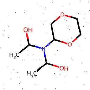 CC(O)N(C(C)O)C1COCCO1